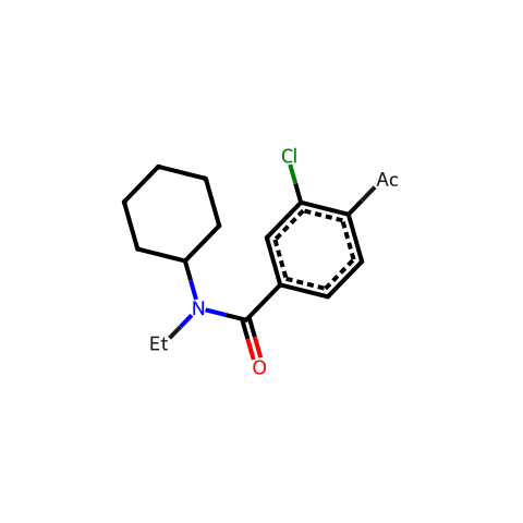 CCN(C(=O)c1ccc(C(C)=O)c(Cl)c1)C1CCCCC1